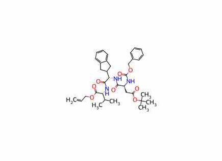 C=CCOC(=O)[C@H](NC(=O)[C@@H](NC(=O)[C@H](CC(=O)OC(C)(C)C)NC(=O)OCc1ccccc1)C1Cc2ccccc2C1)C(C)C